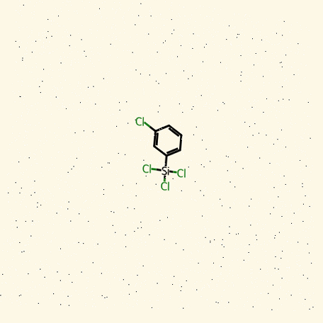 Clc1cccc([Si](Cl)(Cl)Cl)c1